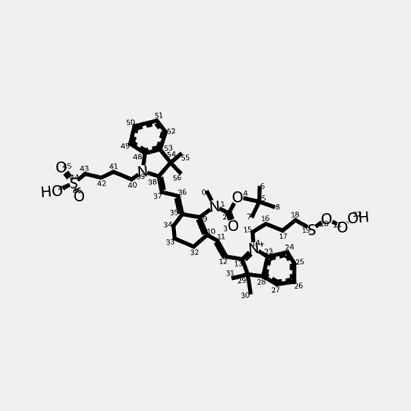 CN(C(=O)OC(C)(C)C)C1=C(/C=C/C2=[N+](CCCCSOOO)c3ccccc3C2(C)C)CCC/C1=C\C=C1\N(CCCCS(=O)(=O)O)c2ccccc2C1(C)C